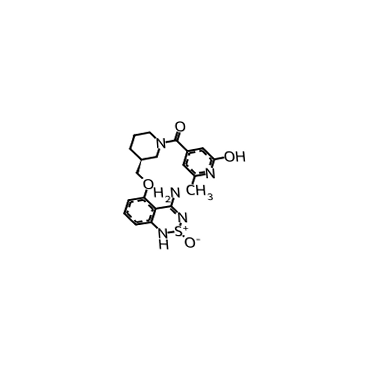 Cc1cc(C(=O)N2CCC[C@H](COc3cccc4c3C(N)=N[S+]([O-])N4)C2)cc(O)n1